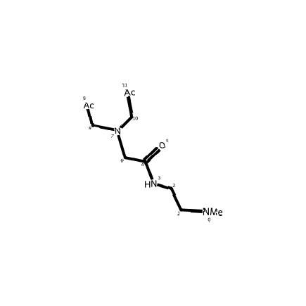 CNCCNC(=O)CN(CC(C)=O)CC(C)=O